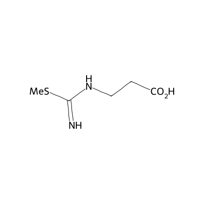 CSC(=N)NCCC(=O)O